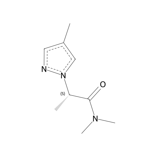 Cc1cnn([C@@H](C)C(=O)N(C)C)c1